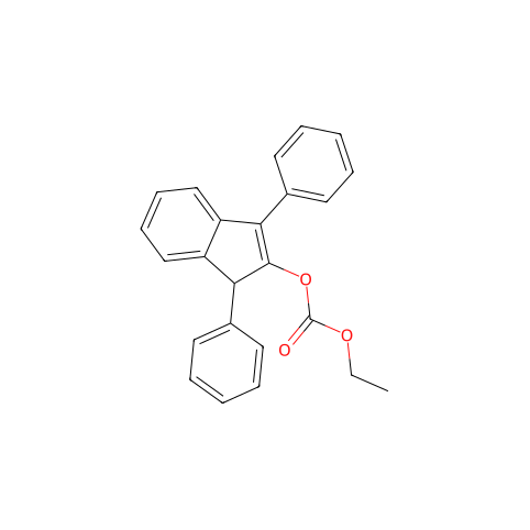 CCOC(=O)OC1=C(c2ccccc2)c2ccccc2C1c1ccccc1